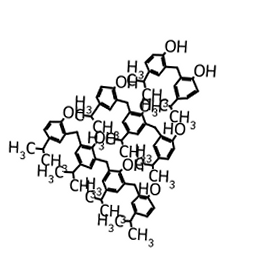 CC(C)c1ccc(O)c(Cc2cc(C(C)C)cc(Cc3cc(C(C)C)cc(Cc4cc(C(C)C)ccc4O)c3O)c2O)c1.CC(C)c1ccc(O)c(Cc2cc(C(C)C)cc(Cc3cc(C(C)C)ccc3O)c2O)c1.CC(C)c1ccc(O)c(Cc2cc(C(C)C)ccc2O)c1